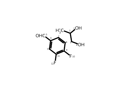 CC(O)CO.O=Cc1ccc(F)c(F)c1